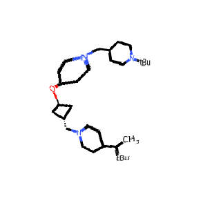 CC(C1CCN(C[C@H]2C[C@H](OC3CCN(CC4CCN(C(C)(C)C)CC4)CC3)C2)CC1)C(C)(C)C